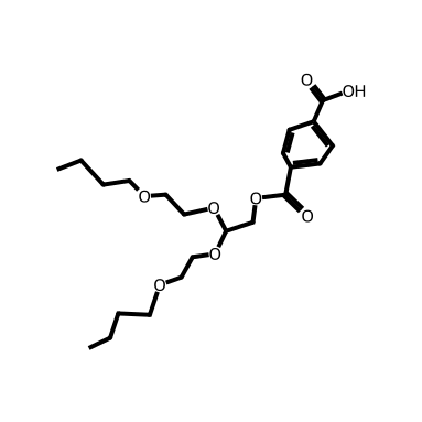 CCCCOCCOC(COC(=O)c1ccc(C(=O)O)cc1)OCCOCCCC